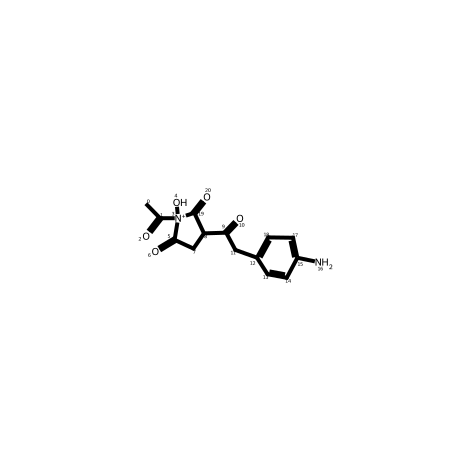 CC(=O)[N+]1(O)C(=O)CC(C(=O)Cc2ccc(N)cc2)C1=O